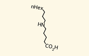 CCCCCCCCCNCCCCC(=O)O